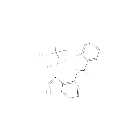 CC(C)(C)NC(C)(O)COc1ccccc1C(=O)Nc1cccc2[nH]ccc12